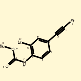 CCC#Cc1ccc(NC(=O)OC(C)(C)C)c(CC)c1